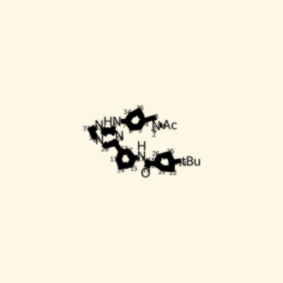 CC(=O)N(C)Cc1ccc(Nc2nc(-c3cccc(NC(=O)c4ccc(C(C)(C)C)cc4)c3)cn3ccnc23)cc1